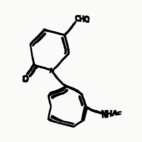 CC(=O)Nc1cccc(-n2cc(C=O)ccc2=O)c1